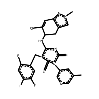 Cc1cncc(-n2c(=O)nc(NC3Cc4cn(C)nc4C=C3Cl)n(Cc3cc(F)c(F)cc3F)c2=O)c1